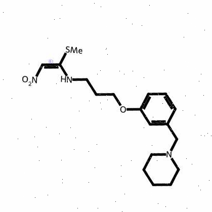 CS/C(=C/[N+](=O)[O-])NCCCOc1cccc(CN2CCCCC2)c1